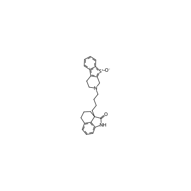 O=C1Nc2cccc3c2C1(CCCCN1CCc2c([s+]([O-])c4ccccc24)C1)CCC3